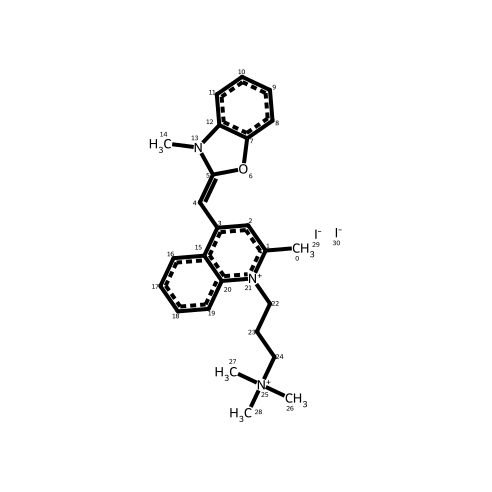 Cc1cc(C=C2Oc3ccccc3N2C)c2ccccc2[n+]1CCC[N+](C)(C)C.[I-].[I-]